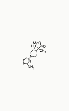 COC(=O)C(C)(C)C1CCN(c2ccnc(N)n2)CC1